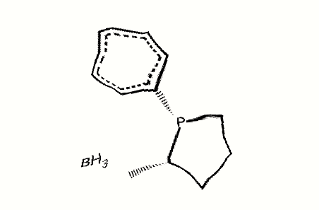 B.C[C@H]1CCC[P@@]1c1ccccc1